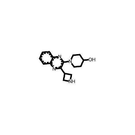 OC1CCN(c2nc3ccccc3nc2C2CNC2)CC1